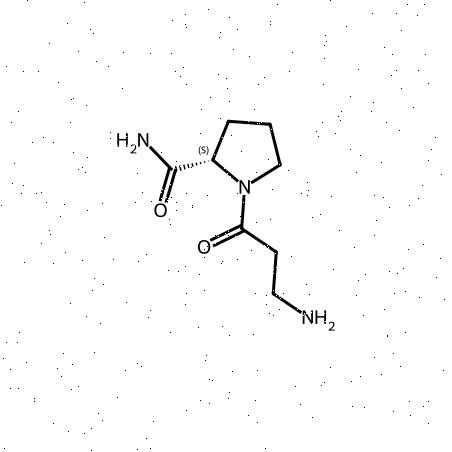 NCCC(=O)N1CCC[C@H]1C(N)=O